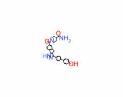 NC(=O)C1CCN(C(=O)c2ccc3c(c2)Cc2c(-c4ccc(-c5ccc(O)cc5)cc4)n[nH]c2-3)CC1